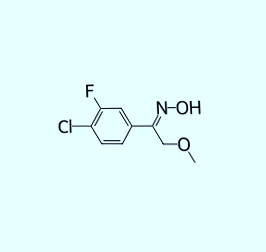 COCC(=NO)c1ccc(Cl)c(F)c1